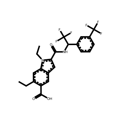 CCc1cc2c(cc1C(=O)O)cc(C(=O)NC(c1cccc(C(F)(F)F)c1)C(F)(F)F)n2CC